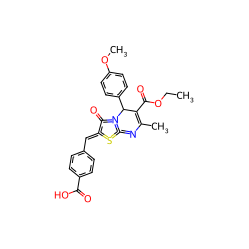 CCOC(=O)C1=C(C)N=c2sc(=Cc3ccc(C(=O)O)cc3)c(=O)n2C1c1ccc(OC)cc1